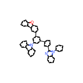 c1ccc(-n2c(-c3cccc(-c4cc(-c5ccc6oc7ccccc7c6c5)cc(-n5c6ccccc6c6ccccc65)c4)c3)nc3ccccc32)cc1